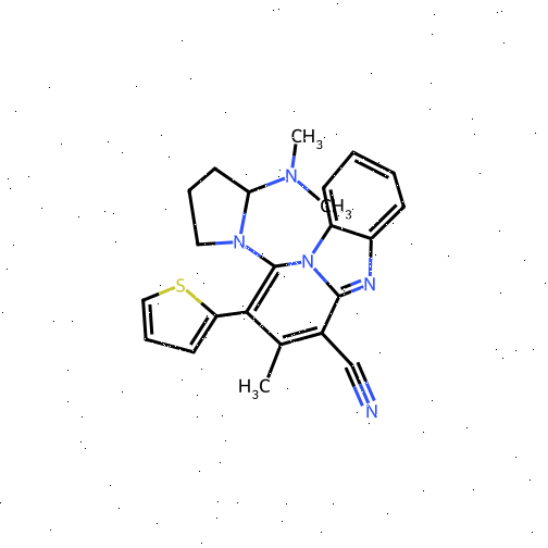 Cc1c(-c2cccs2)c(N2CCCC2N(C)C)n2c(nc3ccccc32)c1C#N